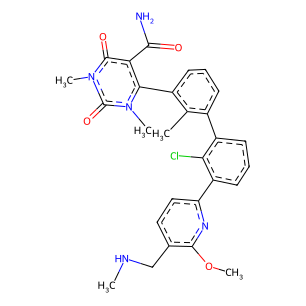 CNCc1ccc(-c2cccc(-c3cccc(-c4c(C(N)=O)c(=O)n(C)c(=O)n4C)c3C)c2Cl)nc1OC